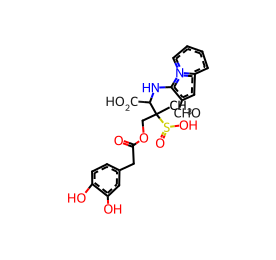 CC(COC(=O)Cc1ccc(O)c(O)c1)(C(Nc1c(C=O)cc2ccccn12)C(=O)O)S(=O)O